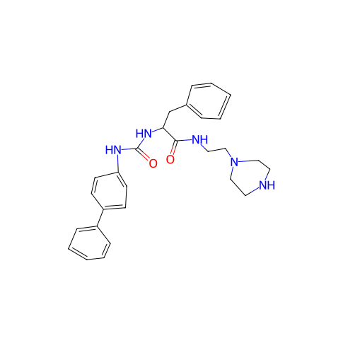 O=C(Nc1ccc(-c2ccccc2)cc1)NC(Cc1ccccc1)C(=O)NCCN1CCNCC1